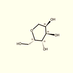 OC[C@@H]1O[CH][C@@H](O)[C@@H](O)[C@@H]1O